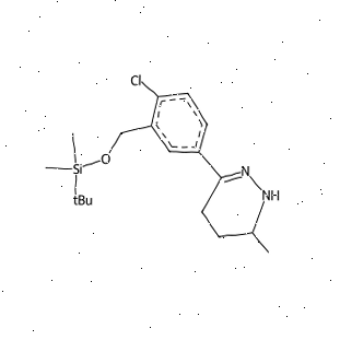 CC1CCC(c2ccc(Cl)c(CO[Si](C)(C)C(C)(C)C)c2)=NN1